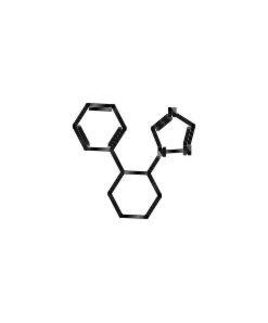 c1ccc(C2CCCCC2n2cncn2)cc1